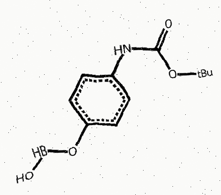 CC(C)(C)OC(=O)Nc1ccc(OBO)cc1